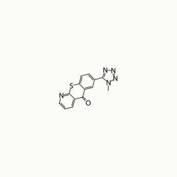 Cn1nnnc1-c1ccc2sc3ncccc3c(=O)c2c1